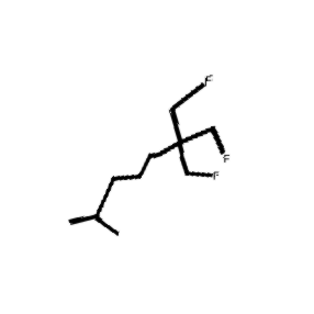 CC(C)CCCC(CF)(CF)CF